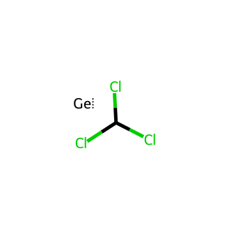 ClC(Cl)Cl.[Ge]